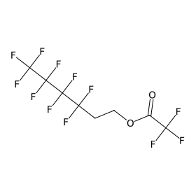 O=C(OCCC(F)(F)C(F)(F)C(F)(F)C(F)(F)F)C(F)(F)F